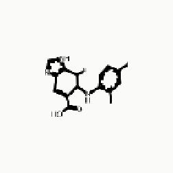 Cc1cc(I)ccc1NC1C(C(=O)O)=Cc2nc[nH]c2C1F